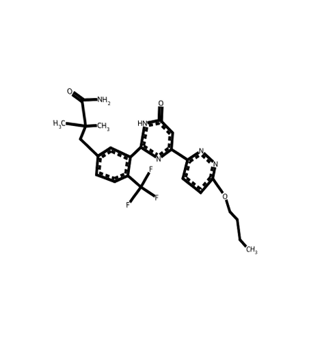 CCCCOc1ccc(-c2cc(=O)[nH]c(-c3cc(CC(C)(C)C(N)=O)ccc3C(F)(F)F)n2)nn1